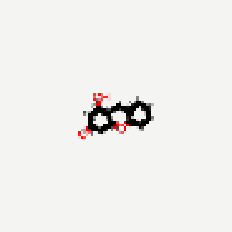 O=c1cc2oc3ccccc3cc-2c(O)c1